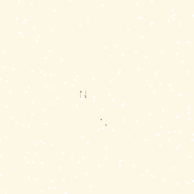 Cc1c(-c2ccccc2)nc2n1-c1ccccc1C2